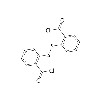 O=C(Cl)c1ccccc1SSc1ccccc1C(=O)Cl